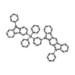 c1ccc(-n2c3ccccc3c3cc([Si](c4ccccc4)(c4ccccc4)c4cccc(-n5c6ccccc6c6cc7c8ccccc8n(-c8ccccc8)c7cc65)c4)ccc32)cc1